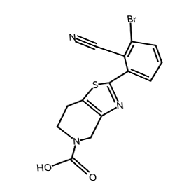 N#Cc1c(Br)cccc1-c1nc2c(s1)CCN(C(=O)O)C2